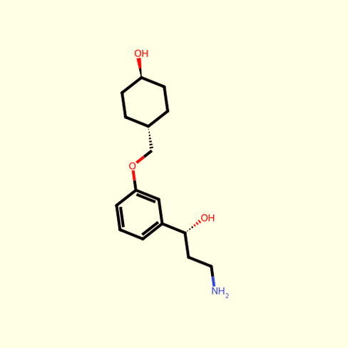 NCC[C@@H](O)c1cccc(OC[C@H]2CC[C@H](O)CC2)c1